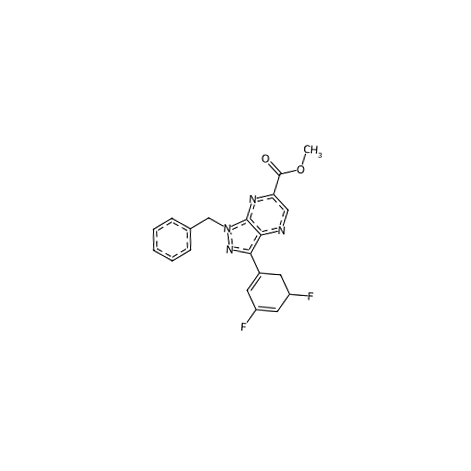 COC(=O)c1cnc2c(C3=CC(F)=CC(F)C3)nn(Cc3ccccc3)c2n1